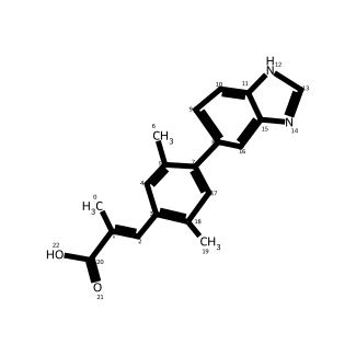 C/C(=C\c1cc(C)c(-c2ccc3[nH]cnc3c2)cc1C)C(=O)O